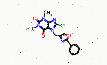 Cn1c(=O)c2c(nc(Cl)n2Cc2coc(-c3ccccc3)n2)n(C)c1=O